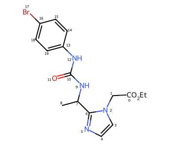 CCOC(=O)Cn1ccnc1C(C)NC(=O)Nc1ccc(Br)cc1